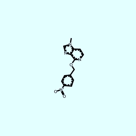 Cn1cnc2c(OCc3ccc([N+](=O)[O-])cc3)nccc21